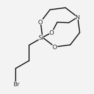 BrCCC[Si]12OCCN(CCO1)CCO2